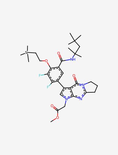 COC(=O)Cn1cc(-c2cc(C(=O)NC(C)(C)CC(C)(C)C)c(OCC[Si](C)(C)C)c(F)c2F)c2c(=O)n3c(nc21)CCC3